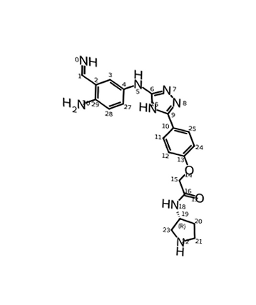 N=Cc1cc(Nc2nnc(-c3ccc(OCC(=O)N[C@@H]4CCNC4)cc3)[nH]2)ccc1N